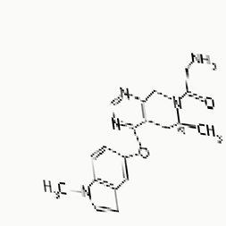 C[C@H]1Cc2c(ncnc2Oc2ccc3c(ccn3C)c2)CN1C(=O)CN